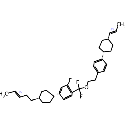 C/C=C/CC[C@H]1CC[C@H](c2ccc(C(F)(F)OCCc3ccc([C@H]4CC[C@H](/C=C/C)CC4)cc3)c(F)c2)CC1